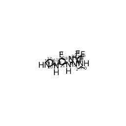 CC(C)Nc1nc(Nc2cc(F)cc(N[C@@H]3CCCNC3)c2)ncc1C(F)(F)F